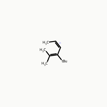 C/C=C\C(=C(C)C)C(C)(C)C